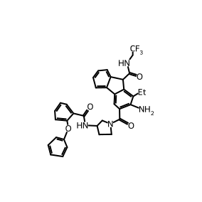 CCc1c(N)c(C(=O)N2CCC(NC(=O)c3ccccc3Oc3ccccc3)C2)cc2c1C(C(=O)NCC(F)(F)F)c1ccccc1-2